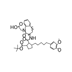 COc1ccc(CCCCCC2CCC(C(=O)OC(C)(C)C)C2C(=O)N[C@H]2CSc3ccccc3N(CC(=O)O)C2=O)cc1OC